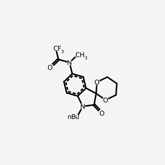 CCCCN1C(=O)C2(OCCCO2)c2cc(N(C)C(=O)C(F)(F)F)ccc21